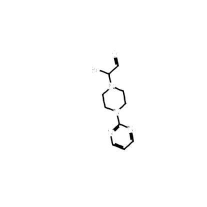 O=CC(Br)N1CCN(c2ncccn2)CC1